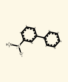 N[S+]([O-])c1cccc(-c2ccccc2)c1